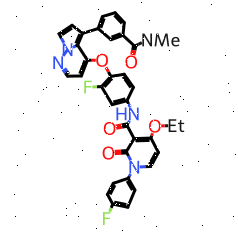 CCOc1ccn(-c2ccc(F)cc2)c(=O)c1C(=O)Nc1ccc(Oc2ccnn3ccc(-c4cccc(C(=O)NC)c4)c23)c(F)c1